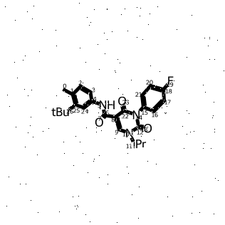 Cc1ccc(NC(=O)c2cn(C(C)C)c(=O)n(-c3ccc(F)cc3)c2=O)cc1C(C)(C)C